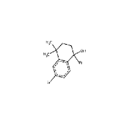 CC(C)C1(O)CCC(C)(C)c2cc(Br)ccc21